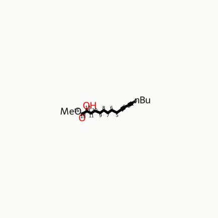 CCCCC#CC#CCCCCCCCC(O)C(=O)OC